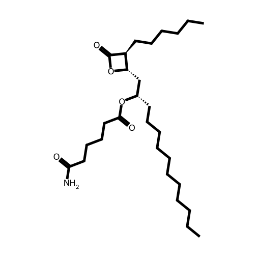 CCCCCCCCCCC[C@@H](C[C@@H]1OC(=O)[C@H]1CCCCCC)OC(=O)CCCCC(N)=O